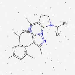 CCC(CC)N1CCc2c(C)nc3c(-c4c(C)cc(C)cc4C(C)OC)c(C)nn3c21